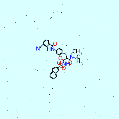 CCN(CC)C(=O)C(Cc1ccc(NC(=O)c2cccc(C#N)c2)cc1)C(=O)NS(=O)(=O)c1ccc2ccccc2c1